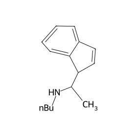 CCCCNC(C)C1C=Cc2ccccc21